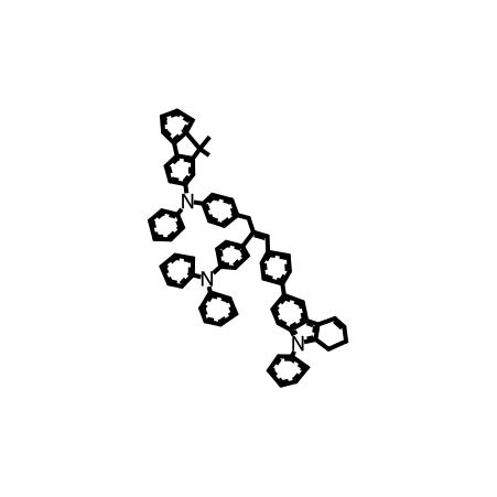 CC1(C)c2ccccc2-c2ccc(N(c3ccccc3)c3ccc(C/C(=C/c4ccc(-c5ccc6c(c5)c5c(n6-c6ccccc6)CCC=C5)cc4)c4ccc(N(c5ccccc5)c5ccccc5)cc4)cc3)cc21